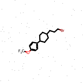 FC(F)(F)Oc1ccc(C2CCC(CCCBr)CC2)cc1